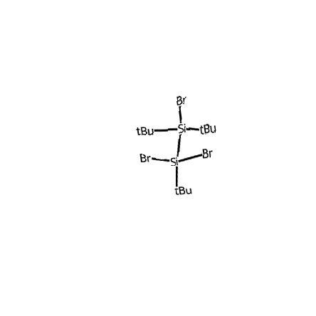 CC(C)(C)[Si](Br)(Br)[Si](Br)(C(C)(C)C)C(C)(C)C